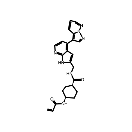 C=CC(=O)N[C@H]1CC[C@@H](C(=O)NCc2cc3c(-c4cnn5ncccc45)ccnc3[nH]2)CC1